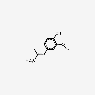 CCOc1cc(/C=C(\C)C(=O)O)ccc1O